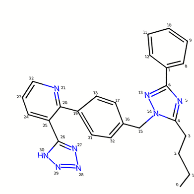 CCCCc1nc(-c2ccccc2)nn1Cc1ccc(-c2ncccc2-c2nnn[nH]2)cc1